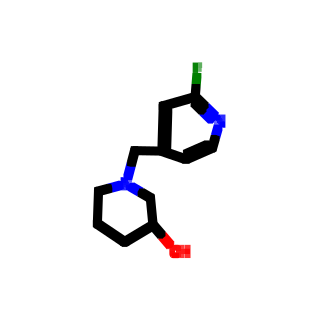 OC1CCCN(Cc2ccnc(F)c2)C1